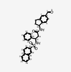 O=Cc1ccc2c(c1)CCC2NC(=O)CC(NS(=O)(=O)c1ccc2ccccc2c1)c1ccccc1